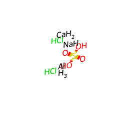 Cl.Cl.O=S(=O)(O)O.[AlH3].[CaH2].[NaH]